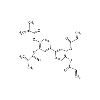 C=CC(=O)Oc1ccc(-c2ccc(OC(=O)C(=C)C)c(OC(=O)C(=C)C)c2)cc1OC(=O)C=C